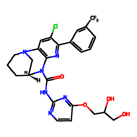 O=C(Nc1nccc(OCC(O)CO)n1)N1c2nc(-c3cccc(C(F)(F)F)c3)c(Cl)cc2N2CCC[C@H]1C2